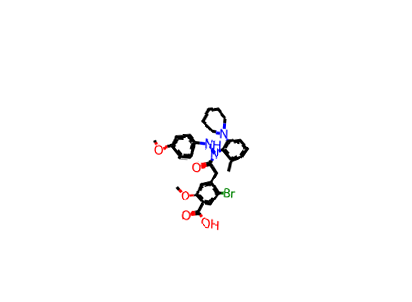 COc1ccc(NN(C(=O)Cc2cc(OC)c(C(=O)O)cc2Br)c2c(C)cccc2N2CCCCC2)cc1